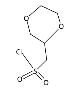 O=S(=O)(Cl)CC1COCCO1